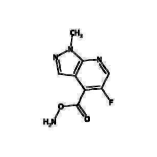 Cn1ncc2c(C(=O)ON)c(F)cnc21